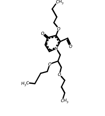 CCCCOCC(Cn1ccc(=O)c(OCCCC)c1C=O)OCCCC